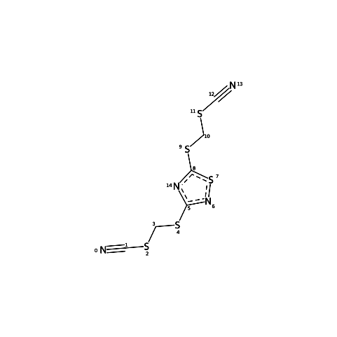 N#CSCSc1nsc(SCSC#N)n1